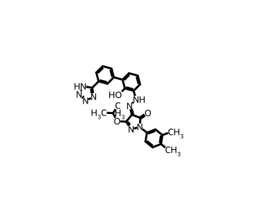 Cc1ccc(N2N=C(OC(C)C)C(=NNc3cccc(-c4cccc(-c5nnn[nH]5)c4)c3O)C2=O)cc1C